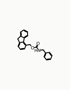 O=C(N[CH]c1ccccc1)OCc1cccc2c1-c1ccccc1C2